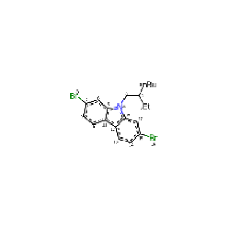 CCCCC(CC)Cn1c2cc(Br)ccc2c2ccc(Br)cc21